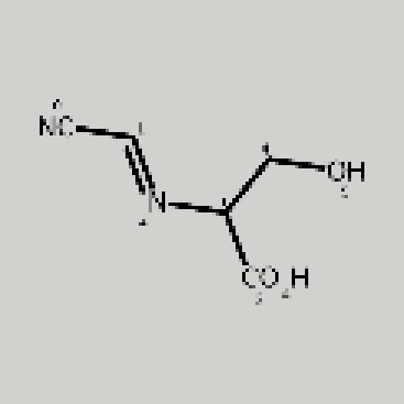 N#C/C=N/C(CO)C(=O)O